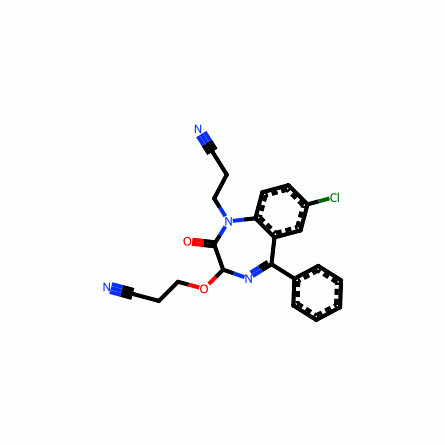 N#CCCOC1N=C(c2ccccc2)c2cc(Cl)ccc2N(CCC#N)C1=O